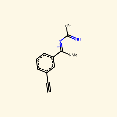 C#Cc1cccc(/C(=N/C(=N)CCC)NC)c1